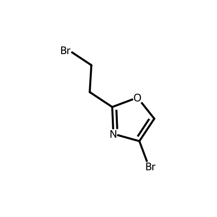 BrCCc1nc(Br)co1